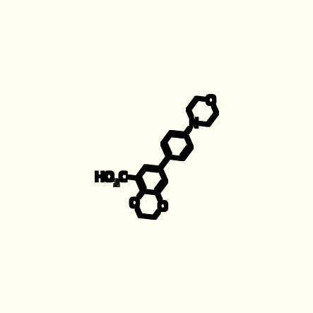 O=C(O)c1cc(-c2ccc(N3CCOCC3)cc2)cc2c1OCCO2